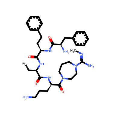 C/N=C(/N)N1CCCN(C(=O)[C@@H](CCCN)NC(=O)[C@@H](CC(C)C)NC(=O)[C@@H](CCc2ccccc2)NC(=O)[C@H](N)Cc2ccccc2)CC1